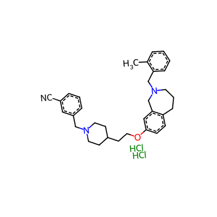 Cc1ccccc1CN1CCCc2ccc(OCCC3CCN(Cc4cccc(C#N)c4)CC3)cc2C1.Cl.Cl